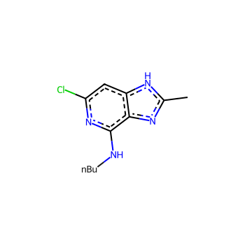 CCCCNc1nc(Cl)cc2[nH]c(C)nc12